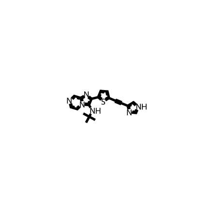 CC(C)(C)Nc1c(-c2ccc(C#Cc3c[nH]cn3)s2)nc2cnccn12